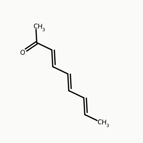 C/C=C/C=C/C=C/C(C)=O